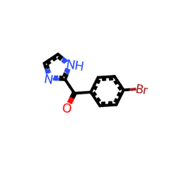 O=C(c1ccc(Br)cc1)c1ncc[nH]1